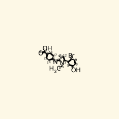 CCn1c(-c2cc(O)ccc2Br)cs/c1=N\c1ccc(C(=O)O)cc1